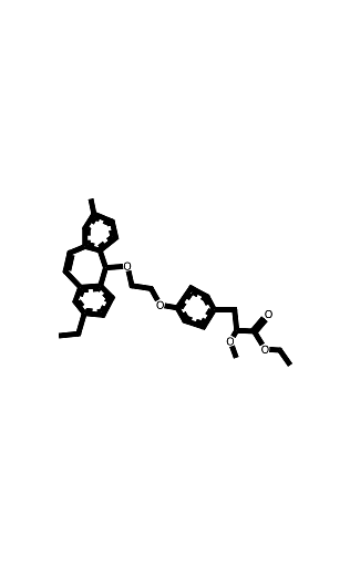 CCOC(=O)C(Cc1ccc(OCCOC2c3ccc(C)cc3C=Cc3cc(CC)ccc32)cc1)OC